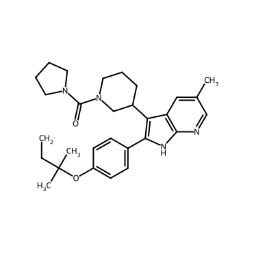 [CH2]CC(C)(C)Oc1ccc(-c2[nH]c3ncc(C)cc3c2C2CCCN(C(=O)N3CCCC3)C2)cc1